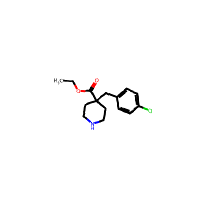 CCOC(=O)C1(Cc2ccc(Cl)cc2)CCNCC1